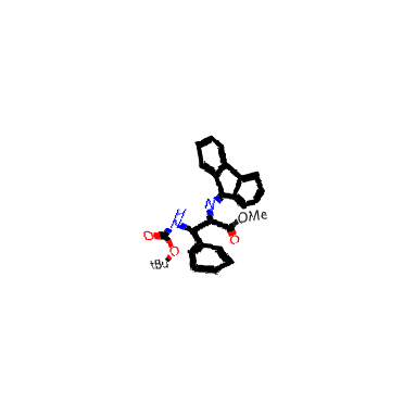 COC(=O)C(N=C1c2ccccc2-c2ccccc21)C(NC(=O)OC(C)(C)C)c1ccccc1